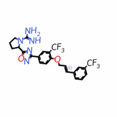 N=C(N)N1CCCC1c1nc(-c2ccc(OC/C=C/c3cccc(C(F)(F)F)c3)c(C(F)(F)F)c2)no1